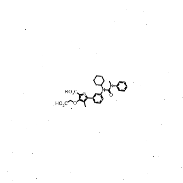 Cc1c(-c2cccc(N(C(=O)N(C)c3ccccc3)C3CCCCC3)c2)sc(C(=O)O)c1OCC(=O)O